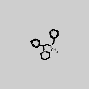 CN(Cc1ccccc1)CC(c1ccccc1)N1CCCCC1